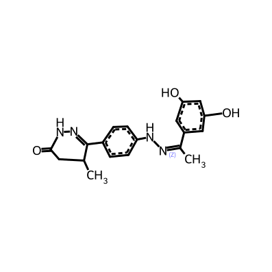 C/C(=N/Nc1ccc(C2=NNC(=O)CC2C)cc1)c1cc(O)cc(O)c1